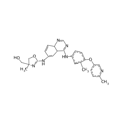 Cc1ccc(Oc2ccc(NC3=NC=NC4C=CC(NC5=NC(C)(CO)CO5)=CC34)cc2C)cn1